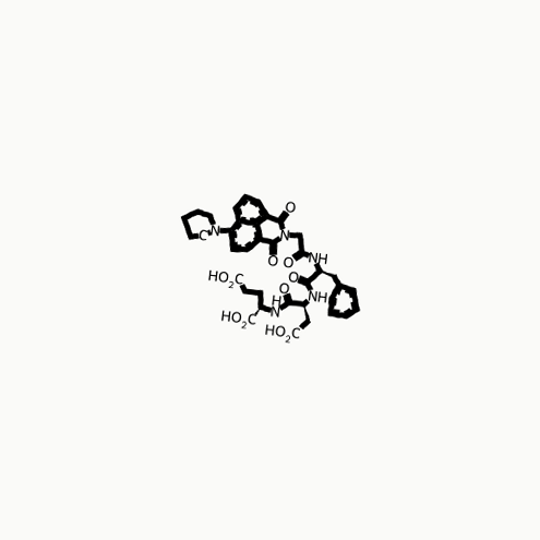 O=C(O)CC[C@H](NC(=O)[C@H](CC(=O)O)NC(=O)[C@H](Cc1ccccc1)NC(=O)CN1C(=O)c2cccc3c(N4CCCCC4)ccc(c23)C1=O)C(=O)O